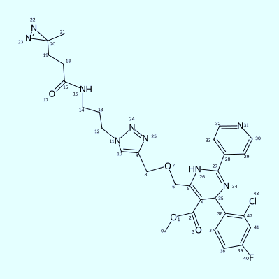 COC(=O)C1=C(COCc2cn(CCCNC(=O)CCC3(C)N=N3)nn2)NC(c2ccncc2)=NC1c1ccc(F)cc1Cl